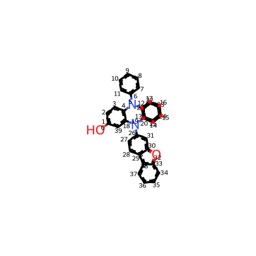 Oc1ccc(N(c2ccccc2)c2ccccc2)c(N(c2ccccc2)c2ccc3c(c2)oc2ccccc23)c1